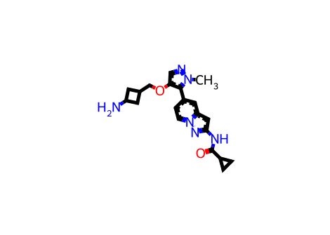 Cn1ncc(OCC2CC(N)C2)c1-c1ccn2nc(NC(=O)C3CC3)cc2c1